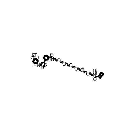 O=C(NCCOCCOCCOCCOCCOCCOCCNC(=O)C1CC2C=C[C@H]21)c1cccc(-c2cc(Nc3ccc(OC(F)(F)F)cc3)ncn2)c1